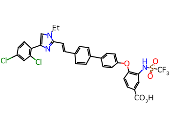 CCn1cc(-c2ccc(Cl)cc2Cl)nc1C=Cc1ccc(-c2ccc(Oc3ccc(C(=O)O)cc3NS(=O)(=O)C(F)(F)F)cc2)cc1